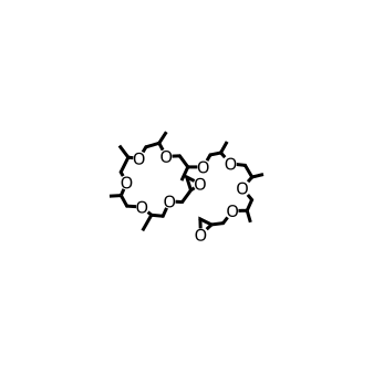 CC(COCC1CO1)OCC(C)OCC(C)OCC(C)OCC(C)OCC(C)OCC(C)OCC(C)OCC1CO1